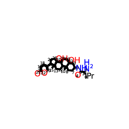 CC(C)C(N)C(=O)NC1CCC2(C)C3CCC4(C)C(c5ccc(=O)oc5)CCC4(O)C3CCC2(O)C1